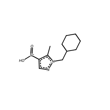 Cc1c([N+](=O)O)cnn1CC1CCCCC1